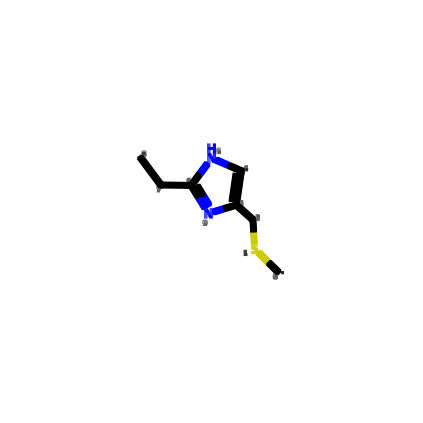 [CH2]SCc1c[nH]c(CC)n1